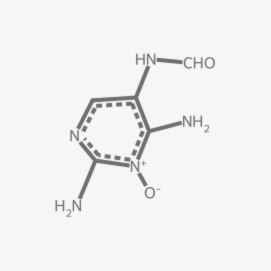 Nc1ncc(NC=O)c(N)[n+]1[O-]